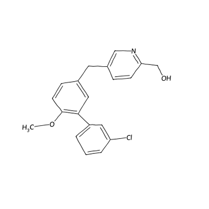 COc1ccc(Cc2ccc(CO)nc2)cc1-c1cccc(Cl)c1